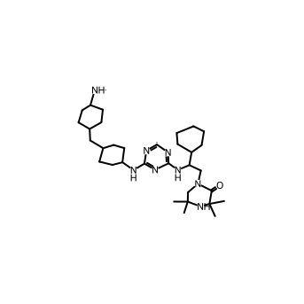 CC1(C)CN(CC(Nc2n[c]nc(NC3CCC(CC4CCC([NH])CC4)CC3)n2)C2CCCCC2)C(=O)C(C)(C)N1